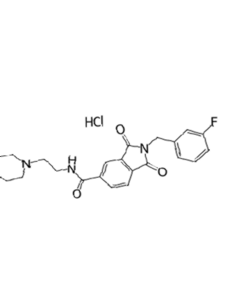 Cl.O=C(NCCN1CCOCC1)c1ccc2c(c1)C(=O)N(Cc1cccc(F)c1)C2=O